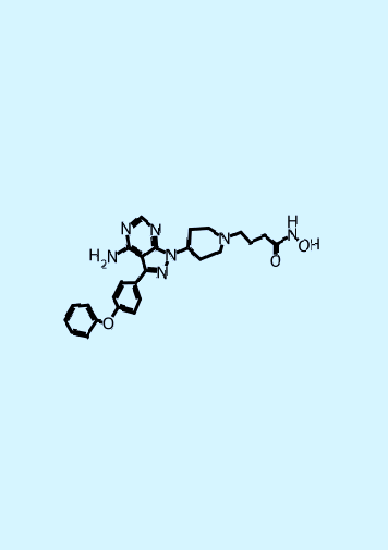 Nc1ncnc2c1c(-c1ccc(Oc3ccccc3)cc1)nn2C1CCN(CCCC(=O)NO)CC1